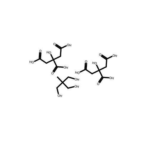 CC(CO)(CO)CO.O=C(O)CC(O)(CC(=O)O)C(=O)O.O=C(O)CC(O)(CC(=O)O)C(=O)O